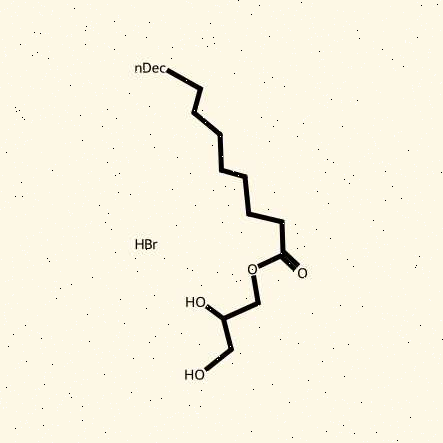 Br.CCCCCCCCCCCCCCCCCC(=O)OCC(O)CO